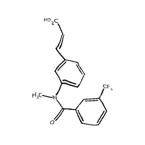 CN(C(=O)c1cccc(C(F)(F)F)c1)c1cccc(/C=C/C(=O)O)c1